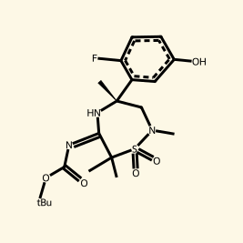 CN1C[C@@](C)(c2cc(O)ccc2F)N/C(=N/C(=O)OC(C)(C)C)C(C)(C)S1(=O)=O